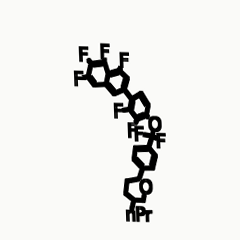 CCCC1CCC(c2ccc(C(F)(F)Oc3ccc(-c4cc(F)c5c(F)c(F)c(F)cc5c4)c(F)c3F)cc2)OC1